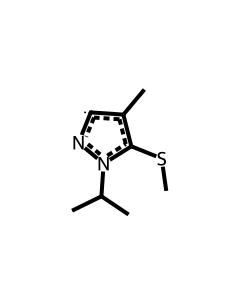 CSc1c(C)[c]nn1C(C)C